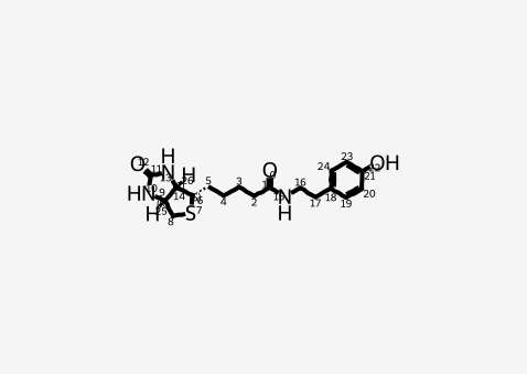 O=C(CCCC[C@@H]1SC[C@@H]2NC(=O)N[C@@H]21)NCCc1ccc(O)cc1